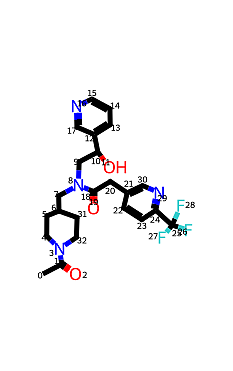 CC(=O)N1CCC(CN(CC(O)c2cccnc2)C(=O)Cc2ccc(C(F)(F)F)nc2)CC1